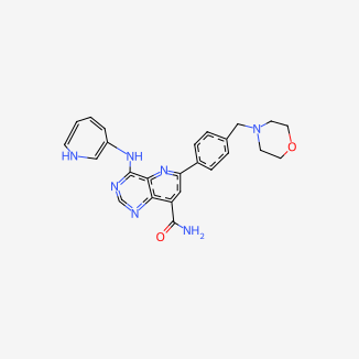 NC(=O)c1cc(-c2ccc(CN3CCOCC3)cc2)nc2c(NC3=CNC=CC=C3)ncnc12